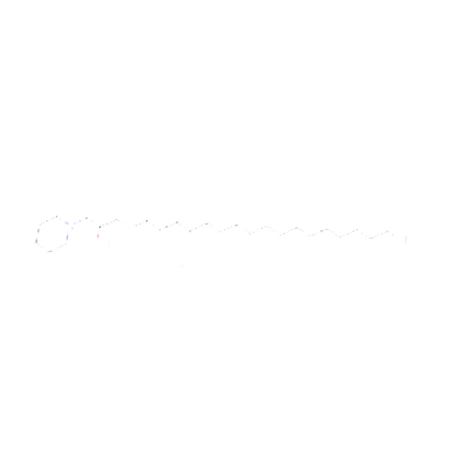 CCCCCCCCCCCCCCCCCCSCC(O)CN1CCCCC1.Cl